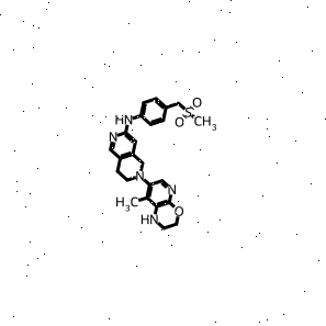 Cc1c(N2CCc3cnc(Nc4ccc(CS(C)(=O)=O)cc4)cc3C2)cnc2c1NCCO2